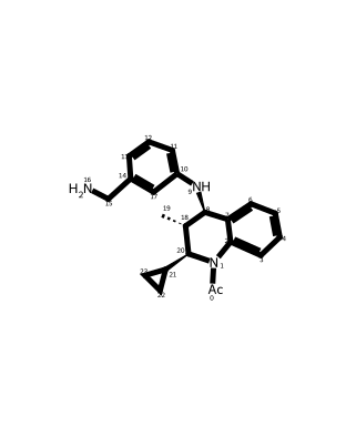 CC(=O)N1c2ccccc2[C@H](Nc2cccc(CN)c2)[C@@H](C)[C@@H]1C1CC1